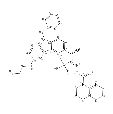 O=C(/C(=N/OC(=O)N1CCCN2CCCN=C21)C(F)(F)F)c1ccc2c(c1)-c1cc(OCCO)ccc1C2Cc1ccccc1